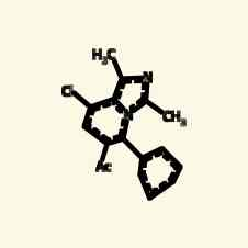 CC(=O)c1cc(Cl)c2c(C)nc(C)n2c1-c1ccccc1